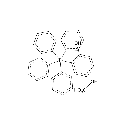 O=C(O)O.Oc1ccccc1P(c1ccccc1)(c1ccccc1)(c1ccccc1)c1ccccc1